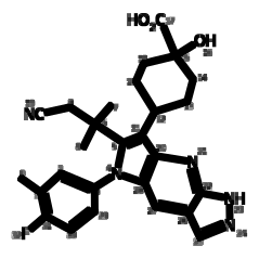 Cc1cc(-n2c(C(C)(C)CC#N)c(C3CCC(O)(C(=O)O)CC3)c3nc4[nH]ncc4cc32)ccc1F